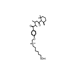 C=C1CCCC(C)(C)C1C(=O)CC(C)C(C)C(=O)c1ccc(OC[N+](C)(C)CCCCCCCCCCCCCCCC)cc1